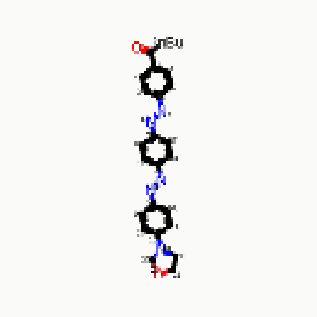 CCCCC(=O)c1ccc(N=Nc2ccc(N=Nc3ccc(N4CCOC4)cc3)cc2)cc1